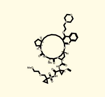 C=C[C@@H]1C[C@]1(NC(=O)[C@@H]1C[C@@H]2CN1C(=O)[C@H](C(C)(C)C)NC(=O)O[C@@H]1CCC[C@H]1CCCCCc1c(nc3ccccc3c1OCCN1CCOCC1)O2)C(=O)NS(=O)(=O)C1(COCCOC)CC1